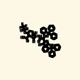 O=C(O)C1=C(OS(=O)(=O)C(F)(F)F)CC[C@@H]2[C@H](NC(=O)C(=NOC(c3ccccc3)(c3ccccc3)c3ccccc3)c3nc(NC(c4ccccc4)(c4ccccc4)c4ccccc4)sc3Cl)C(=O)N12